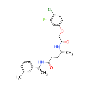 C=C(CCC(=O)N[C@@H](C)c1cccc(C)c1)NC(=O)COc1ccc(Cl)c(F)c1